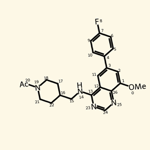 COc1cc(-c2ccc(F)cc2)cc2c(NCC3CCN(C(C)=O)CC3)ncnc12